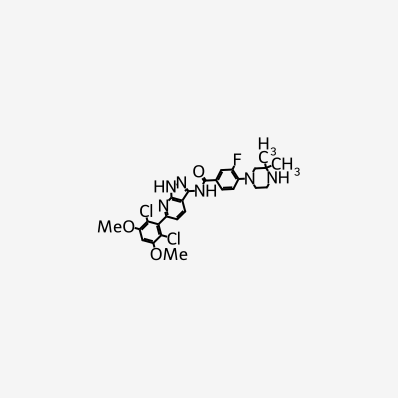 COc1cc(OC)c(Cl)c(-c2ccc3c(NC(=O)c4ccc(N5CCNC(C)(C)C5)c(F)c4)n[nH]c3n2)c1Cl